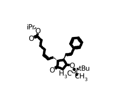 CC(C)OC(=O)CCC/C=C\C[C@H]1C(=O)CC(O[Si](C)(C)C(C)(C)C)[C@@H]1/C=C/c1ccccc1